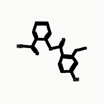 CCc1cc(O)ccc1C(=O)Oc1ccccc1C(=O)O